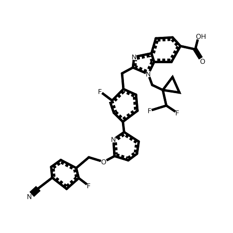 N#Cc1ccc(COc2cccc(-c3ccc(Cc4nc5ccc(C(=O)O)cc5n4CC4(C(F)F)CC4)c(F)c3)n2)c(F)c1